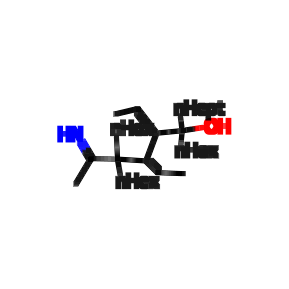 C/C=C(\C(=C/C)C(O)(CCCCCC)CCCCCCC)C(CCCCCC)(CCCCCC)C(C)=N